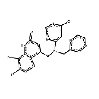 O=c1cc(CN(Cc2ccccn2)c2cc(Cl)ncn2)c2ccc(F)c(F)c2[nH]1